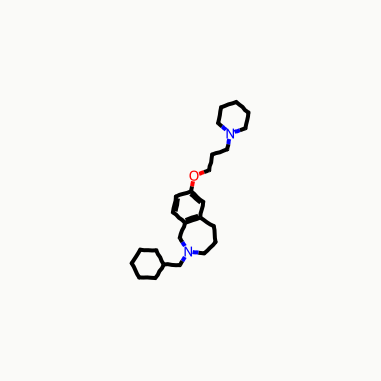 c1cc2c(cc1OCCCN1CCCCC1)CCCN(CC1CCCCC1)C2